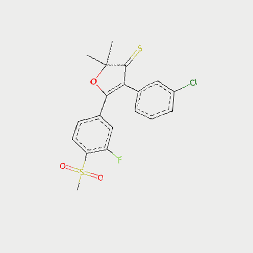 CC1(C)OC(c2ccc(S(C)(=O)=O)c(F)c2)=C(c2cccc(Cl)c2)C1=S